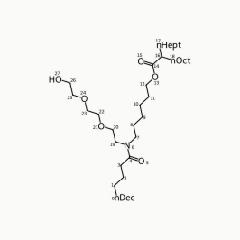 CCCCCCCCCCCCCC(=O)N(CCCCCCOC(=O)C(CCCCCCC)CCCCCCCC)CCOCCOCCO